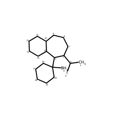 BC1(C2C(C(C)I)CCCC3CCCCC32)CCCCC1